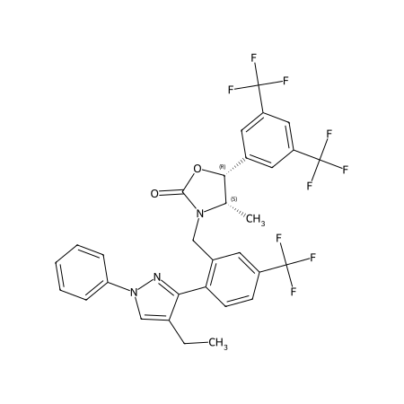 CCc1cn(-c2ccccc2)nc1-c1ccc(C(F)(F)F)cc1CN1C(=O)O[C@H](c2cc(C(F)(F)F)cc(C(F)(F)F)c2)[C@@H]1C